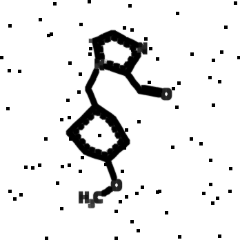 COc1ccc(Cn2[c]cnc2C=O)cc1